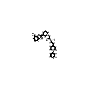 O=C(CN1CCCC(c2nc3c(Cl)cccc3[nH]2)C1)NCCC1CCN(c2ccncc2)CC1